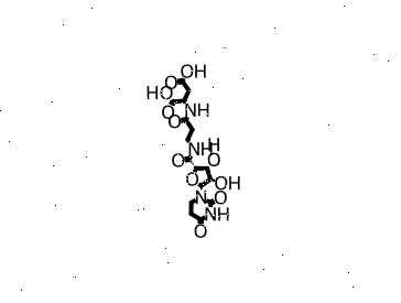 O=C(O)CC(NC(=O)CCNC(=O)[C@H]1O[C@@H](N2CCC(=O)NC2=O)[C@H](O)[C@@H]1O)C(=O)O